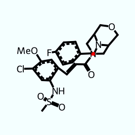 COc1cc(/C=C/C(=O)N2CC3COCC(C2)N3Cc2ccc(F)cc2)c(NS(C)(=O)=O)cc1Cl